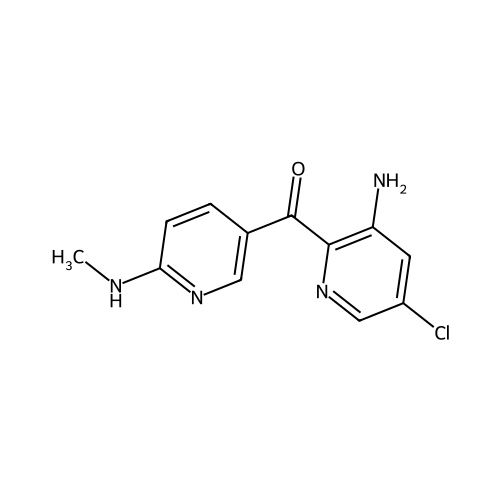 CNc1ccc(C(=O)c2ncc(Cl)cc2N)cn1